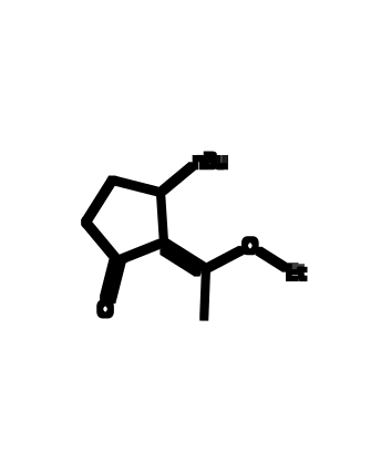 CCCCC1CCC(=O)/C1=C(\C)OCC